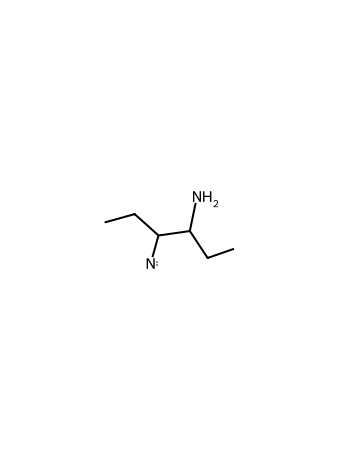 CCC([N])C(N)CC